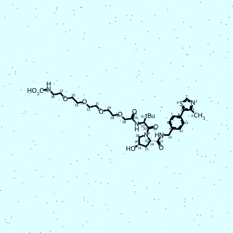 Cc1ncsc1-c1ccc(CNC(=O)[C@@H]2C[C@@H](O)CN2C(=O)C(NC(=O)COCCOCCOCCOCCNC(=O)O)C(C)(C)C)cc1